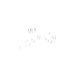 Cl.Cl.Cl.Ic1ccc(N2CCN(Cc3c[nH]c4ncccc34)CC2)cc1